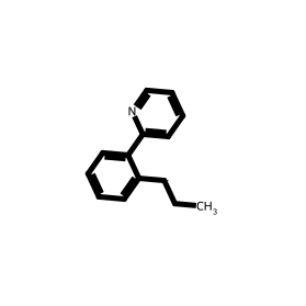 CC[CH]c1ccccc1-c1ccccn1